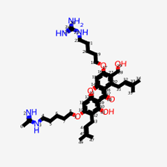 CC(=N)NCCCCCOc1cc2oc3cc(OCCCCCNC(=N)N)c(CO)c(CC=C(C)C)c3c(=O)c2c(O)c1CC=C(C)C